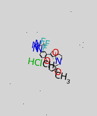 COc1ccccc1CN1CCCC2(C=C(c3cc(-n4nnnc4C(F)(F)F)ccc3OC)CO2)C1.Cl